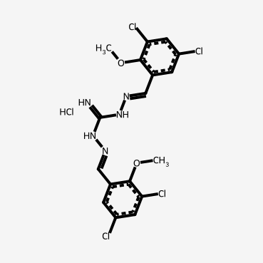 COc1c(Cl)cc(Cl)cc1C=NNC(=N)NN=Cc1cc(Cl)cc(Cl)c1OC.Cl